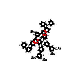 CC(C)(C)c1cc(-c2ccc(N3c4cc(-c5cc(C(C)(C)C)cc(C(C)(C)C)c5)ccc4B4c5ccc(-c6ccc7c(c6)c6ccccc6n7-c6ccccc6)cc5N(c5c(-c6ccccc6)cc(C(C)(C)C)cc5-c5ccccc5)c5cc(-c6ccc7c(c6)c6cccc8c9ccccc9n7c86)cc3c54)cc2)cc(C(C)(C)C)c1